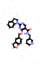 O=C(NCc1cccnc1)c1cnc(N2CCc3ccccc32)nc1OCc1ccc2c(c1)CCO2